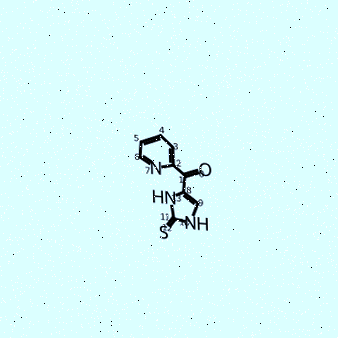 O=C(c1ccccn1)c1c[nH]c(=S)[nH]1